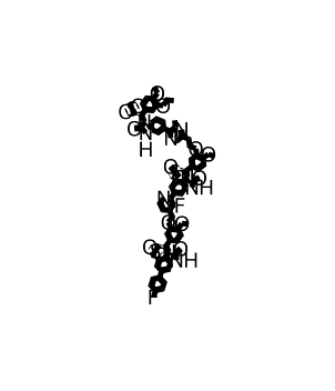 CCOc1cc([C@@H](CS(C)(=O)=O)n2c(=O)[nH]c3cc(-c4ncc(CCOc5cc([C@@H](CS(C)(=O)=O)n6c(=O)[nH]c7cc(-c8nccc(COc9cc([C@@H](CS(C)(=O)=O)n%10c(=O)[nH]c%11cc(-c%12ccc(F)cc%12)ccc%11%10)ccc9OC)c8F)ccc76)ccc5OC)nc4C)ccc32)ccc1OC